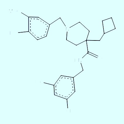 COc1cc(CN2CCC(CC3CCC3)(C(=O)NCc3cc(C(F)(F)F)cc(C(F)(F)F)c3)CC2)ccc1O